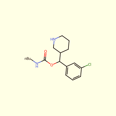 CCCCNC(=O)OC(c1cccc(Cl)c1)C1CCCNC1